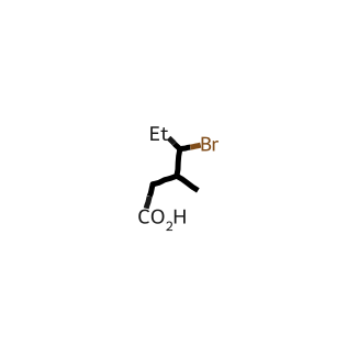 CCC(Br)C(C)CC(=O)O